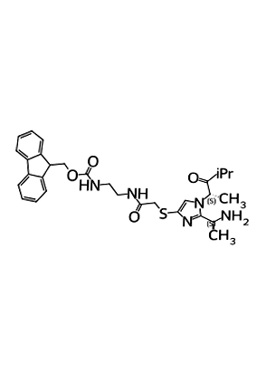 CC(C)C(=O)[C@H](C)n1cc(SCC(=O)NCCNC(=O)OCC2c3ccccc3-c3ccccc32)nc1[C@H](C)N